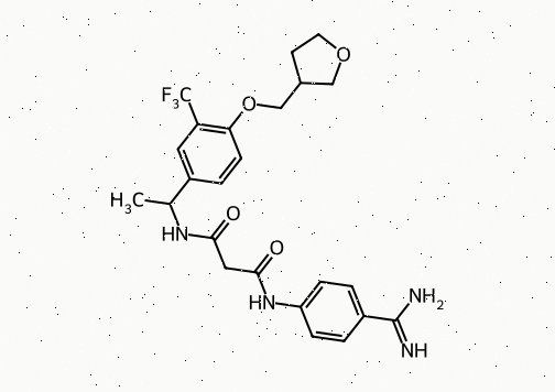 CC(NC(=O)CC(=O)Nc1ccc(C(=N)N)cc1)c1ccc(OCC2CCOC2)c(C(F)(F)F)c1